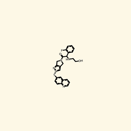 O=C(C(NCCO)c1ccccc1F)N1Cc2cn(Sc3ccc4ncccc4c3)nc2C1